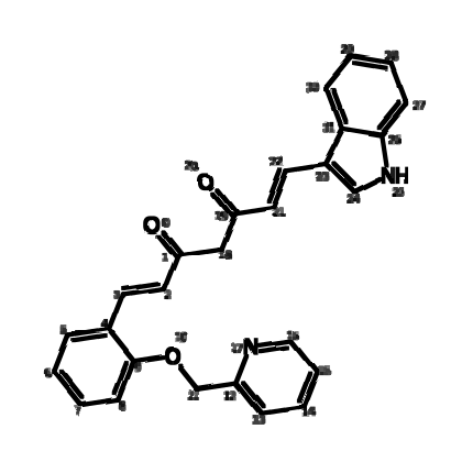 O=C(/C=C/c1ccccc1OCc1ccccn1)CC(=O)/C=C/c1c[nH]c2ccccc12